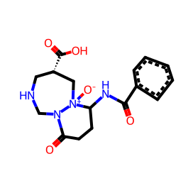 O=C(NC1CCC(=O)N2CNC[C@H](C(=O)O)C[N+]12[O-])c1ccccc1